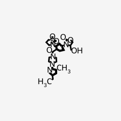 CCc1cnc(N2CCN(C(=O)c3ccc(N4C(=O)OCC4CO)cc3N3CCCS3(=O)=O)CC2)c(C)c1